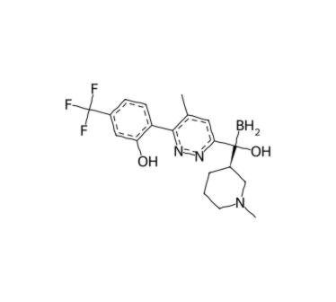 BC(O)(c1cc(C)c(-c2ccc(C(F)(F)F)cc2O)nn1)[C@@H]1CCCN(C)C1